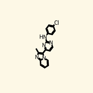 Cc1nc2ccccn2c1-c1ccnc(Nc2ccc(Cl)cc2)n1